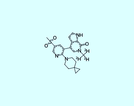 [2H]C([2H])([2H])n1cc(-c2cc(S(C)(=O)=O)cnc2N2CCC3(CC2)CC3)c2cc[nH]c2c1=O